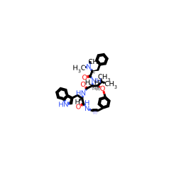 CC(C)[C@H]1Oc2ccc(cc2)/C=C\NC(=O)[C@H](Cc2c[nH]c3ccccc23)NC(=O)[C@H]1NC(=O)[C@H](Cc1ccccc1)N(C)C